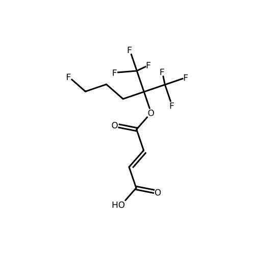 O=C(O)C=CC(=O)OC(CCCF)(C(F)(F)F)C(F)(F)F